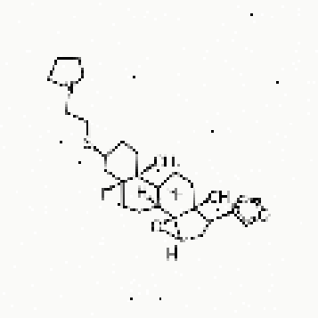 C[C@]12CC[C@H](SCCN3CCCC3)C[C@H]1CC[C@@H]1[C@@H]2CC[C@]2(C)[C@@H](c3ccoc3)C[C@H]3O[C@]132